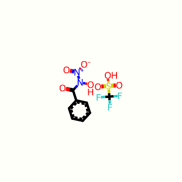 O=C(c1ccccc1)N(O)[N+](=O)[O-].O=S(=O)(O)C(F)(F)F